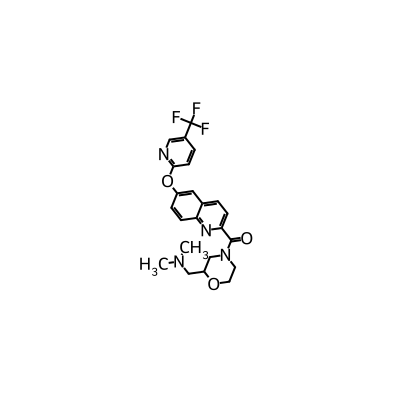 CN(C)CC1CN(C(=O)c2ccc3cc(Oc4ccc(C(F)(F)F)cn4)ccc3n2)CCO1